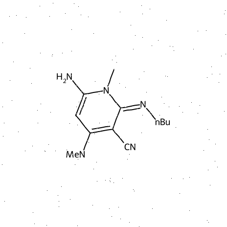 CCCC/N=c1\c(C#N)c(NC)cc(N)n1C